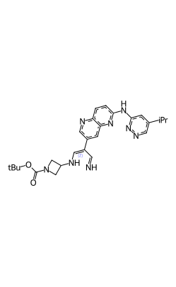 CC(C)c1cnnc(Nc2ccc3ncc(/C(C=N)=C/NC4CN(C(=O)OC(C)(C)C)C4)cc3n2)c1